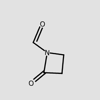 O=CN1CCC1=O